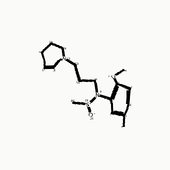 COc1ccc(C)cc1N(CCCN1CCCCC1)[S+](C)[O-]